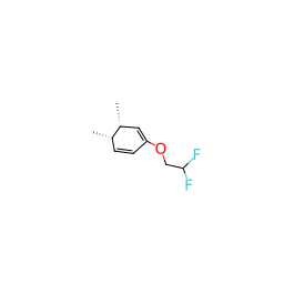 C[C@@H]1C=C(OCC(F)F)C=C[C@@H]1C